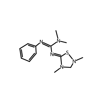 CN1CN(C)C(=NC(=Nc2ccccc2)N(C)C)S1